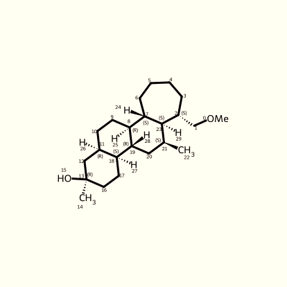 COC[C@H]1CCCC[C@H]2[C@@H]3CC[C@@H]4C[C@](C)(O)CC[C@@H]4[C@H]3C[C@H](C)[C@H]12